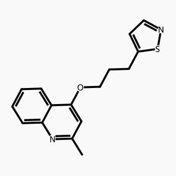 Cc1cc(OCCCc2ccns2)c2ccccc2n1